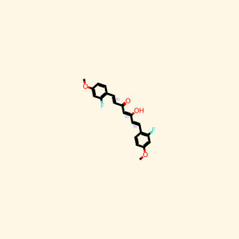 COc1ccc(/C=C/C(=O)/C=C(O)/C=C/c2ccc(OC)cc2F)c(F)c1